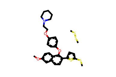 COc1ccc2c(Oc3ccc(OCCN4CCCCC4)cc3)c(-c3ccc(SC)s3)ccc2c1.CSSC